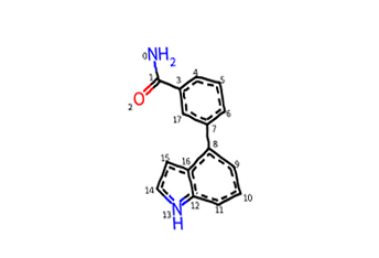 NC(=O)c1cccc(-c2cccc3[nH]ccc23)c1